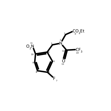 CCOC(=O)CN(Cc1cc(F)ccc1[N+](=O)[O-])C(=O)C(F)(F)F